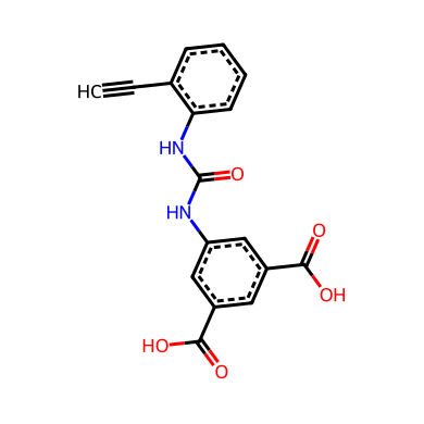 C#Cc1ccccc1NC(=O)Nc1cc(C(=O)O)cc(C(=O)O)c1